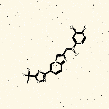 [O-][S+](Cc1cn2cc(-c3noc(C(F)(F)F)n3)ccc2n1)c1ccc(Cl)c(Cl)c1